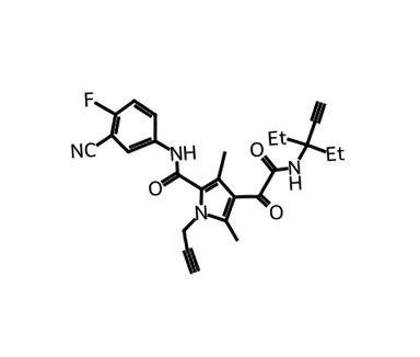 C#CCn1c(C)c(C(=O)C(=O)NC(C#C)(CC)CC)c(C)c1C(=O)Nc1ccc(F)c(C#N)c1